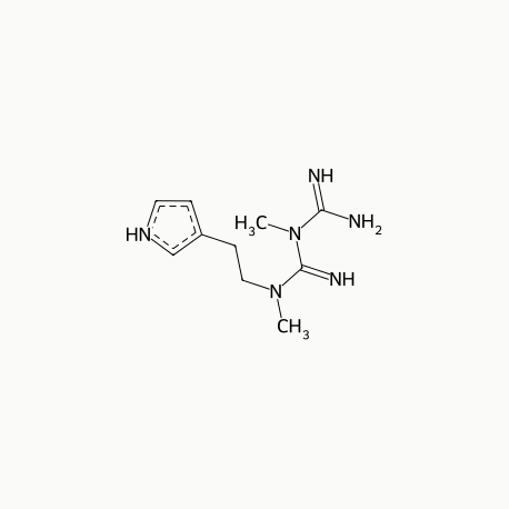 CN(CCc1cc[nH]c1)C(=N)N(C)C(=N)N